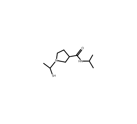 CC(C)NC(=O)C1CCN(C(C)S)C1